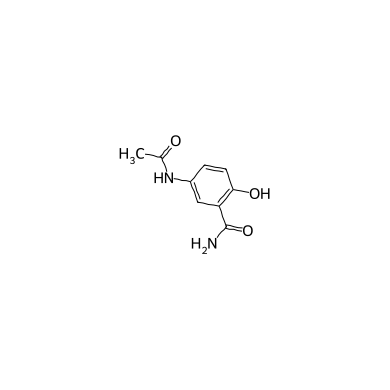 CC(=O)Nc1ccc(O)c(C(N)=O)c1